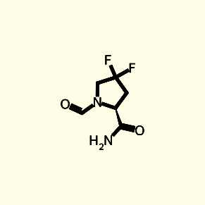 NC(=O)[C@@H]1CC(F)(F)CN1C=O